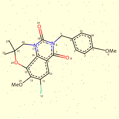 COc1ccc(Cn2c(=O)c3cc(F)c(OC)c4c3n(c2=O)CC(C)(C)O4)cc1